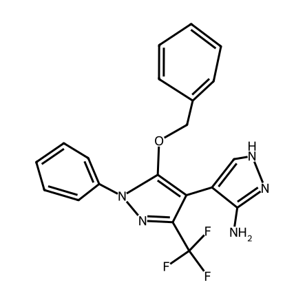 Nc1n[nH]cc1-c1c(C(F)(F)F)nn(-c2ccccc2)c1OCc1ccccc1